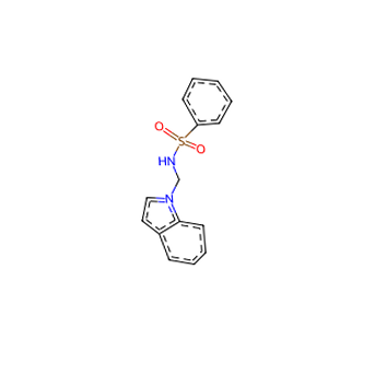 O=S(=O)(NCn1ccc2ccccc21)c1ccccc1